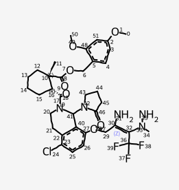 COc1ccc(COC(=O)[C@@]2(C)CCCC[C@H]2C(=O)N2CCc3c(Cl)ccc(OC/C(N)=C(/N(C)N)C(F)(F)F)c3C2N2CCCC2=O)c(OC)c1